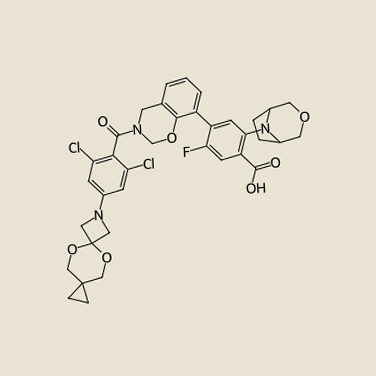 O=C(O)c1cc(F)c(-c2cccc3c2OCN(C(=O)c2c(Cl)cc(N4CC5(C4)OCC4(CC4)CO5)cc2Cl)C3)cc1N1C2CCC1COC2